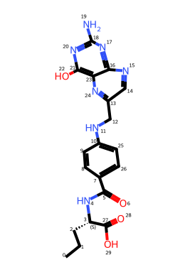 CCC[C@H](NC(=O)c1ccc(NCc2cnc3nc(N)nc(O)c3n2)cc1)C(=O)O